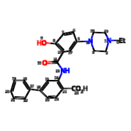 CCN1CCN(c2ccc(O)c(C(=O)Nc3cc(-c4ccccc4)ccc3C(=O)O)c2)CC1